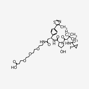 Cc1ncsc1-c1ccc([C@H](CC(=O)NCCOCCOCCOCCC(=O)O)NC(=O)[C@@H]2C[C@@H](O)CN2C(=O)[C@@H](NC(=O)C2(F)CC2)C(C)(C)C)cc1